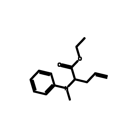 C=CCC(C(=O)OCC)N(C)c1ccccc1